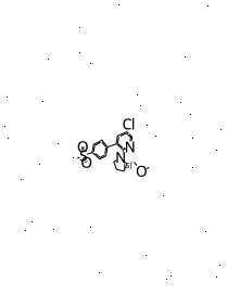 COC[C@@H]1CCCN1c1ncc(Cl)cc1-c1ccc(S(C)(=O)=O)cc1